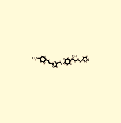 O=[N+]([O-])c1ccc(C=Cc2nc(COc3ccc(C(O)CCCn4ccnn4)cc3)co2)c(F)c1